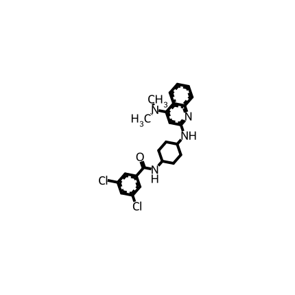 CN(C)c1cc(NC2CCC(NC(=O)c3cc(Cl)cc(Cl)c3)CC2)nc2ccccc12